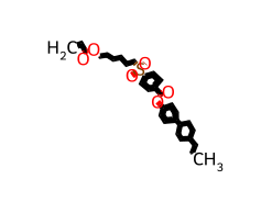 C=CC(=O)OCCCCCCS(=O)(=O)c1ccc(C(=O)Oc2ccc(C3CCC(CCC)CC3)cc2)cc1